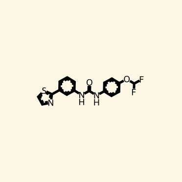 O=C(Nc1ccc(OC(F)F)cc1)Nc1cccc(-c2nccs2)c1